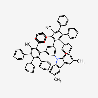 Cc1ccc2c(c1)c1cc(C)ccc1n2-c1cc(-c2c(-c3ccccc3)c(C#N)c(-c3ccccc3)c(-c3ccccc3)c2-c2ccccc2)cc(-c2c(-c3ccccc3)c(C#N)c(-c3ccccc3)c(-c3ccccc3)c2-c2ccccc2)c1